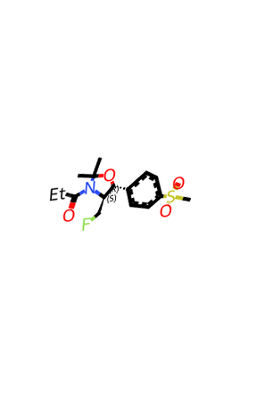 CCC(=O)N1[C@H](CF)[C@@H](c2ccc(S(C)(=O)=O)cc2)OC1(C)C